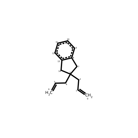 C=CCC1(CC=C)Cc2ccccc2C1